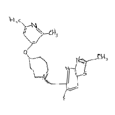 Cc1cc(OC2CCN(Cc3nc4nc(C)sc4cc3F)CC2)cc(C)n1